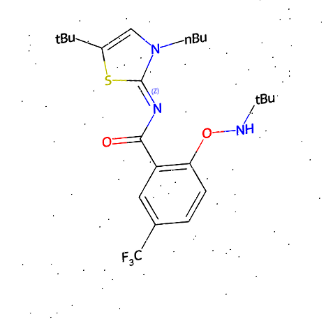 CCCCn1cc(C(C)(C)C)s/c1=N\C(=O)c1cc(C(F)(F)F)ccc1ONC(C)(C)C